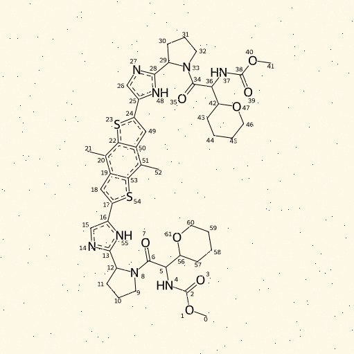 COC(=O)NC(C(=O)N1CCCC1c1ncc(-c2cc3c(C)c4sc(-c5cnc(C6CCCN6C(=O)C(NC(=O)OC)C6CCCCO6)[nH]5)cc4c(C)c3s2)[nH]1)C1CCCCO1